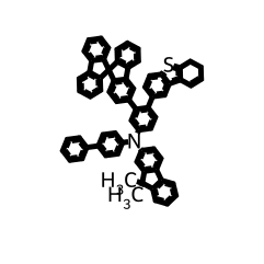 CC1(C)c2ccccc2-c2ccc(N(c3ccc(-c4ccccc4)cc3)c3ccc(-c4ccc5sc6c(c5c4)C=CCC6)c(-c4ccc5c(c4)-c4ccccc4C54c5ccccc5-c5ccccc54)c3)cc21